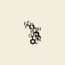 Cc1cccc(C(=O)N2CC3CC[C@@H]2C(Nc2cnc(C(F)(F)F)cn2)C3)c1-n1nccn1